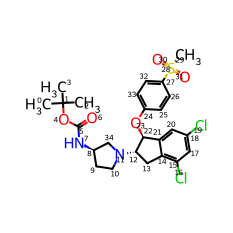 CC(C)(C)OC(=O)N[C@@H]1CCN([C@H]2Cc3c(Cl)cc(Cl)cc3[C@@H]2Oc2ccc(S(C)(=O)=O)cc2)C1